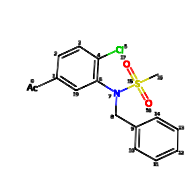 CC(=O)c1ccc(Cl)c(N(Cc2ccccc2)S(C)(=O)=O)c1